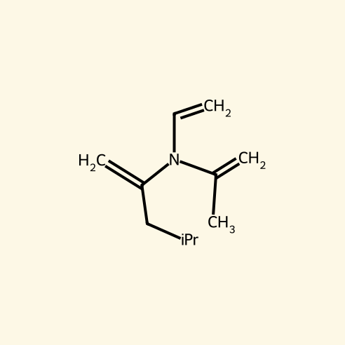 C=CN(C(=C)C)C(=C)CC(C)C